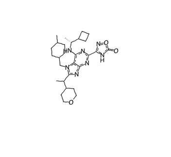 CC1CCC(Cn2c(C(C)C3CCOCC3)nc3nc(-c4noc(=O)[nH]4)nc(N[C@H](C)C4CCC4)c32)CC1